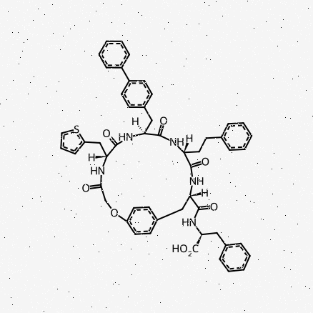 O=C1COc2ccc(cc2)C[C@@H](C(=O)N[C@@H](Cc2ccccc2)C(=O)O)NC(=O)[C@@H](CCc2ccccc2)NC(=O)[C@H](Cc2ccc(-c3ccccc3)cc2)NC(=O)[C@@H](Cc2cccs2)N1